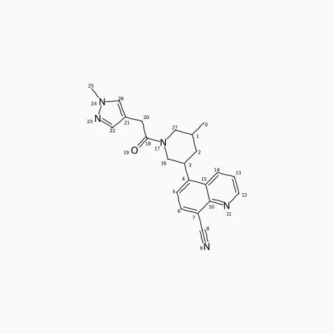 CC1CC(c2ccc(C#N)c3ncccc23)CN(C(=O)Cc2cnn(C)c2)C1